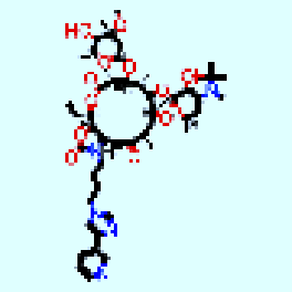 CC[C@H]1OC(=O)[C@H](C)[C@@H](O[C@H]2C[C@@](C)(OC)C(O)[C@H](C)O2)[C@H](C)[C@@H](O[C@@H]2O[C@H](C)C[C@H](N(C)C(C)(C)C)[C@H]2O)[C@](C)(OC)C[C@@H](C)C(=O)[C@H](C)[C@H]2N(CCCCn3cnc(-c4cccnc4)c3)C(=O)O[C@]12C